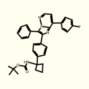 CC(C)(C)OC(=O)NC1(c2ccc(-c3nc4c(-c5ccc(F)cc5)ccnn4c3-c3ccccc3)cc2)CCC1